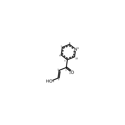 O=C(C=CO)c1cccnc1